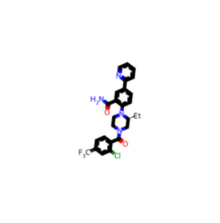 CC[C@@H]1CN(C(=O)c2ccc(C(F)(F)F)cc2Cl)CCN1c1ccc(-c2ccccn2)cc1C(N)=O